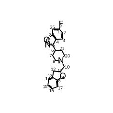 Fc1ccc2c(C3CCN(CC4Cc5ccccc5O4)CC3)noc2c1